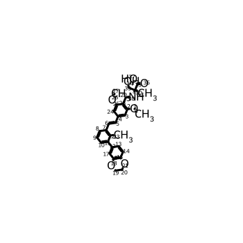 COc1cc(C=Cc2cccc(-c3ccc4c(c3)OCCO4)c2C)cc(OC)c1CNC(C)(CO)C(=O)O